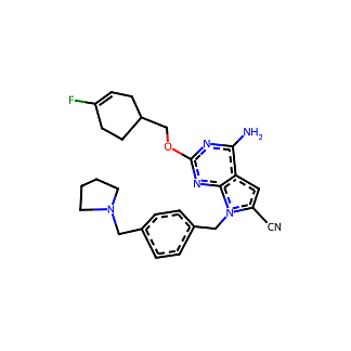 N#Cc1cc2c(N)nc(OCC3CC=C(F)CC3)nc2n1Cc1ccc(CN2CCCC2)cc1